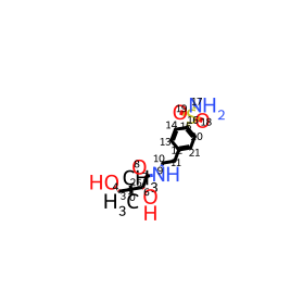 CC(C)(CO)C(O)C(=O)NCCc1ccc(S(N)(=O)=O)cc1